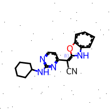 N#C/C(=C1\Nc2ccccc2O1)c1ccnc(NC2CCCCC2)n1